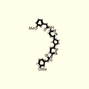 COc1cccc(CC(=O)Nc2ccc(C3CCC(c4ccc(NC(=O)Cc5cccc(OC)c5)nn4)C3)nn2)c1